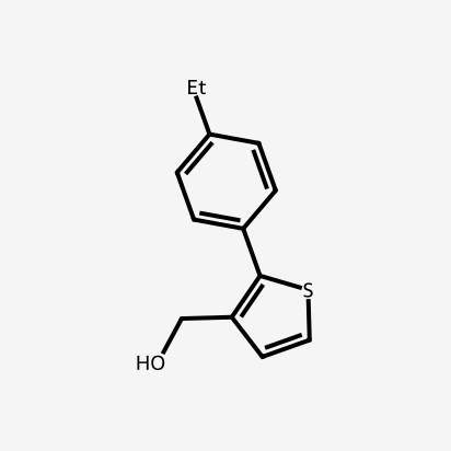 CCc1ccc(-c2sccc2CO)cc1